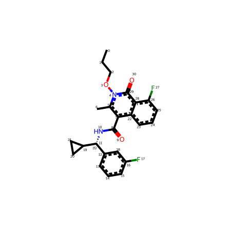 CCCOn1c(C)c(C(=O)N[C@H](c2cccc(F)c2)C2CC2)c2cccc(F)c2c1=O